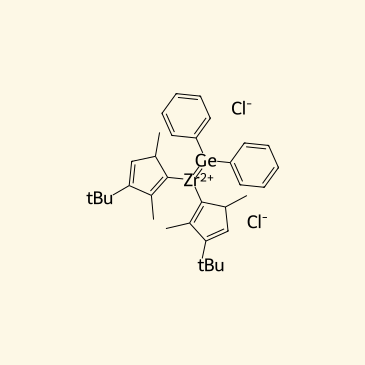 CC1=[C]([Zr+2]([C]2=C(C)C(C(C)(C)C)=CC2C)=[Ge]([c]2ccccc2)[c]2ccccc2)C(C)C=C1C(C)(C)C.[Cl-].[Cl-]